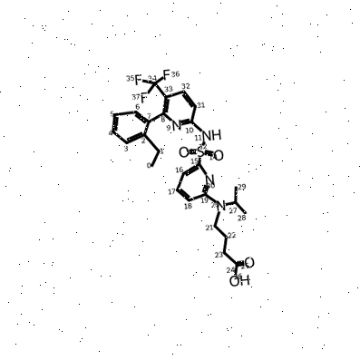 CCc1ccccc1-c1nc(NS(=O)(=O)c2cccc(N(CCCC(=O)O)C(C)C)n2)ccc1C(F)(F)F